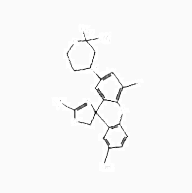 CC1(C)C[C@@H](c2cc(F)c3c(c2)C2(COC(N)=N2)c2cc(O)ccc2O3)CCO1